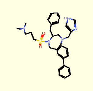 CN(C)CCCS(=O)(=O)N1Cc2cc(-c3ccccc3)ccc2N(Cc2c[nH]cn2)CC1Cc1ccccc1